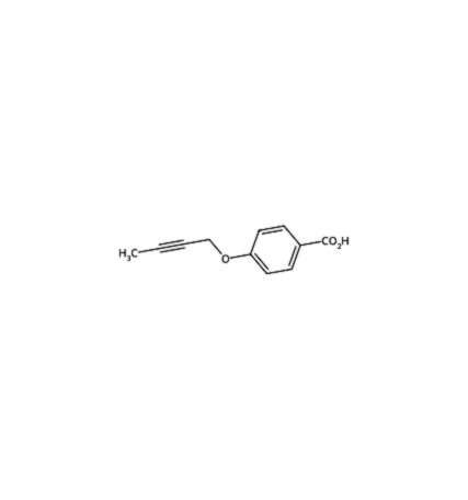 CC#CCOc1ccc(C(=O)O)cc1